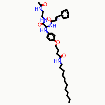 CCCCCCCCCCCCNC(=O)CCCOc1ccc(NC(NC(=O)/C=C/c2ccccc2)C(=O)NCCNC(C)=O)cc1